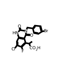 CC(C(=O)O)c1c(F)c(Cl)cc2[nH]c(=O)n(Cc3ccc(Br)cc3)c(=O)c12